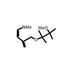 C=C(/C=C\NC)COC(C)(C)C(C)(C)OC